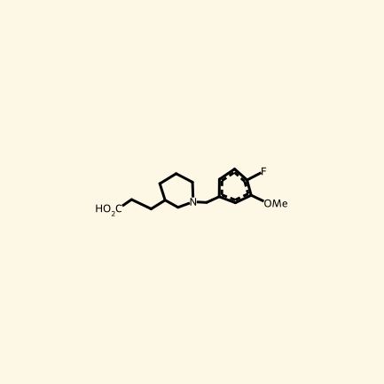 COc1cc(CN2CCCC(CCC(=O)O)C2)ccc1F